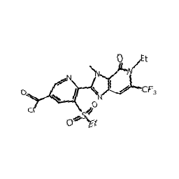 CCn1c(C(F)(F)F)cc2nc(-c3ncc(C(=O)Cl)cc3S(=O)(=O)CC)n(C)c2c1=O